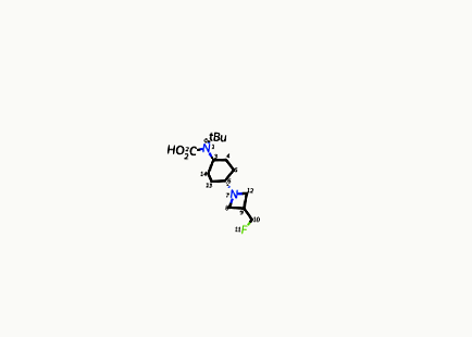 CC(C)(C)N(C(=O)O)[C@H]1CC[C@H](N2CC(CF)C2)CC1